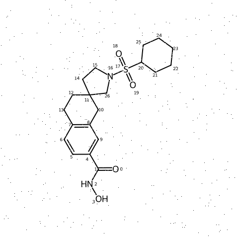 O=C(NO)c1ccc2c(c1)CC1(CC2)CCN(S(=O)(=O)C2CCCCC2)C1